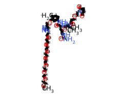 [CH2]c1ccc(NC(=O)[C@H](CCCNC(N)=O)NC(=O)[C@@H](NC(=O)CCOCCN2C(=O)C=CC2=O)C(C)C)cc1COCc1cn(CCOCCOCCOCCOCCOCCOCCOCCOC)nn1